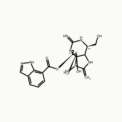 C=C1NC2[C@H](CO)NC(=N)N3C[C@H](OC(=O)c4cccc5cn[nH]c45)[C@](C)(O)C23N1O